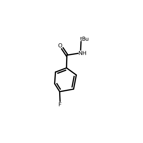 [CH2]C(C)(C)NC(=O)c1ccc(F)cc1